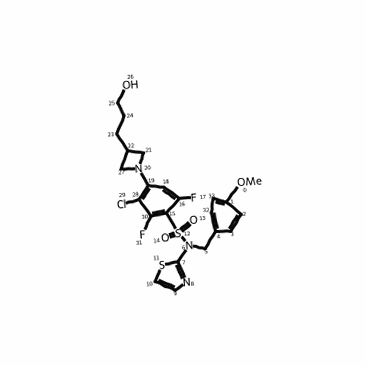 COc1ccc(CN(c2nccs2)S(=O)(=O)c2c(F)cc(N3CC(CCCO)C3)c(Cl)c2F)cc1